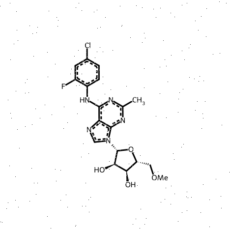 COC[C@H]1O[C@@H](n2cnc3c(Nc4ccc(Cl)cc4F)nc(C)nc32)[C@H](O)[C@@H]1O